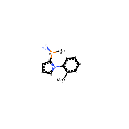 COc1ccccc1-n1cccc1P(N)C(C)(C)C